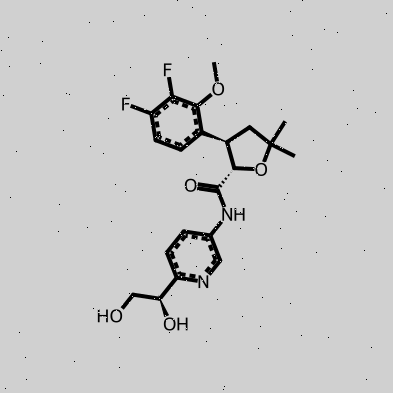 COc1c([C@H]2CC(C)(C)O[C@@H]2C(=O)Nc2ccc([C@@H](O)CO)nc2)ccc(F)c1F